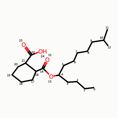 CCCCC(CCCCCC(C)C)OC(=O)C1CCCCC1C(=O)O